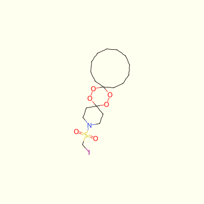 O=S(=O)(CI)N1CCC2(CC1)OOC1(CCCCCCCCCCC1)OO2